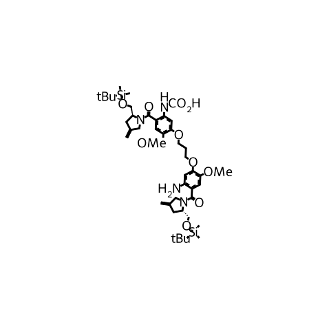 C=C1C[C@@H](CO[Si](C)(C)C(C)(C)C)N(C(=O)c2cc(OC)c(OCCCOc3cc(NC(=O)O)c(C(=O)N4CC(=C)C[C@H]4CO[Si](C)(C)C(C)(C)C)cc3OC)cc2N)C1